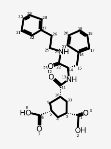 O=C(O)[C@@H]1C[C@H](C(=O)O)C[C@H](C(=O)N[C@@H](Cc2ccccc2)C(=O)NCCc2ccccc2)C1